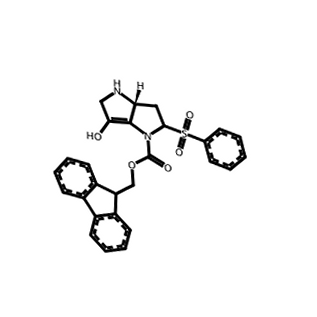 O=C(OCC1c2ccccc2-c2ccccc21)N1C2=C(O)CN[C@@H]2CC1S(=O)(=O)c1ccccc1